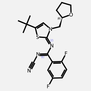 CC(C)(C)c1cn(C[C@H]2CCCO2)/c(=N/C(=N/C#N)c2cc(F)ccc2F)s1